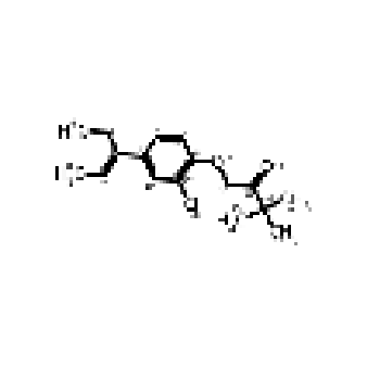 CC=C(CC)c1ccc(OCC(=O)C(C)(C)C)c(Cl)c1